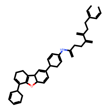 C=C(CCC(=C)C(=C)CCC(/C=C\C)=C/C)NC1=CCC(C2=CC3C4=C(OC3C=C2)C(C2C=CC=CC2)=CCC4)C=C1